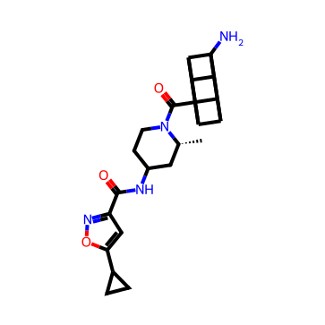 C[C@@H]1CC(NC(=O)c2cc(C3CC3)on2)CCN1C(=O)C12C3C4C1C1C2C3C41N